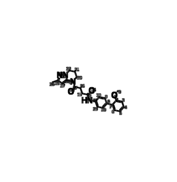 COc1ccccc1-c1ccc(NC(=O)CCC(=O)N2CCCn3nc(C)cc32)cc1